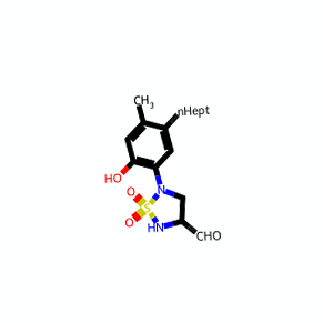 CCCCCCCc1cc(N2CC(C=O)NS2(=O)=O)c(O)cc1C